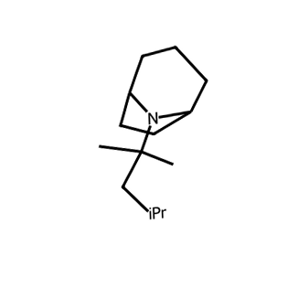 CC(C)CC(C)(C)N1C2CCCC1CC2